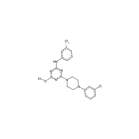 CCOc1nc(Nc2cccc(C(F)(F)F)c2)nc(N2CCN(c3cccc(Cl)c3)CC2)n1